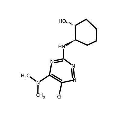 CN(C)c1nc(N[C@@H]2CCCC[C@H]2O)nnc1Cl